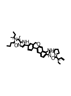 C=C[C@@H](CC)C(=O)N1CCC[C@H]1c1nc2ccc3cc4c(cc3c2[nH]1)OCc1cc(-c2cnc([C@H](C)N(C(=O)CCC)[C@@H](C)CC)[nH]2)ccc1-4